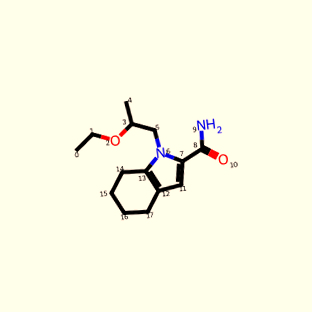 CCOC(C)Cn1c(C(N)=O)cc2c1CCCC2